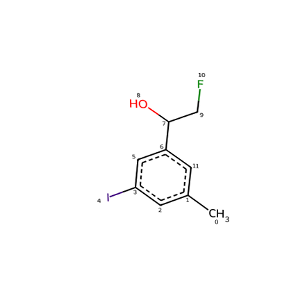 Cc1cc(I)cc(C(O)CF)c1